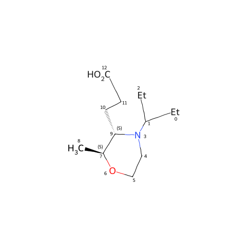 CCC(CC)N1CCO[C@@H](C)[C@@H]1CCC(=O)O